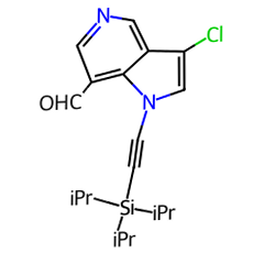 CC(C)[Si](C#Cn1cc(Cl)c2cncc(C=O)c21)(C(C)C)C(C)C